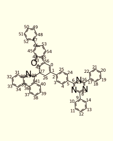 C1=C(c2ccc(-c3nc(-c4ccccc4)nc(-c4ccccc4)n3)cc2)CC(c2nc3ccccc3c3ccccc23)c2oc3cc(-c4ccccc4)ccc3c21